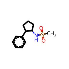 CS(=O)(=O)N[C@@H]1CCCC1c1ccccc1